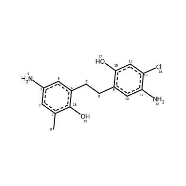 Cc1cc(N)cc(CCc2cc(N)c(Cl)cc2O)c1O